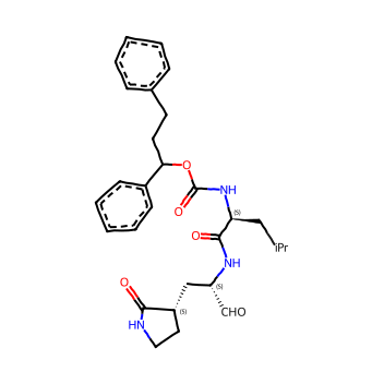 CC(C)C[C@H](NC(=O)OC(CCc1ccccc1)c1ccccc1)C(=O)N[C@H](C=O)C[C@@H]1CCNC1=O